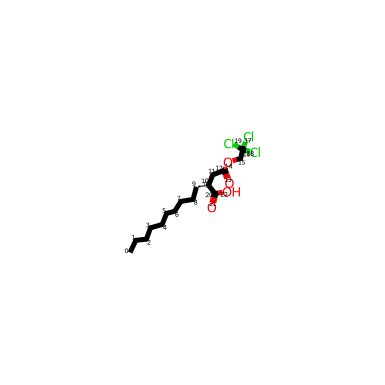 CCCCCCCCCC[C@H](CC(=O)OCC(Cl)(Cl)Cl)C(=O)O